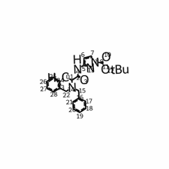 CC(C(=O)Nc1ccn(C(=O)OC(C)(C)C)n1)N(Cc1ccccc1)Cc1ccccc1